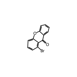 O=c1c2ccccc2oc2cccc(Br)c12